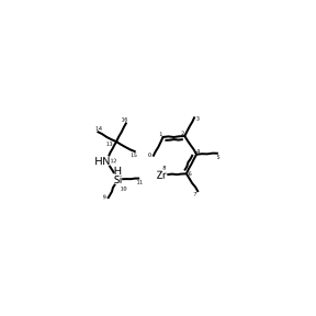 CC=C(C)C(C)=[C](C)[Zr].C[SiH](C)NC(C)(C)C